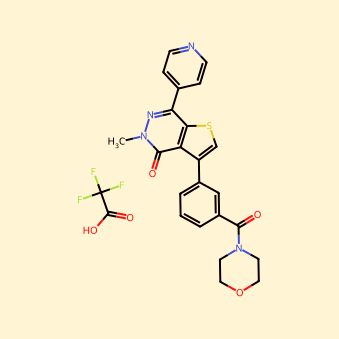 Cn1nc(-c2ccncc2)c2scc(-c3cccc(C(=O)N4CCOCC4)c3)c2c1=O.O=C(O)C(F)(F)F